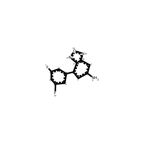 Nc1cc(-c2cc(F)cc(F)c2)c2nonc2c1